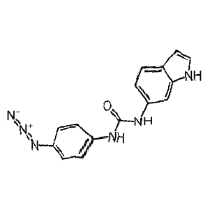 [N-]=[N+]=Nc1ccc(NC(=O)Nc2ccc3cc[nH]c3c2)cc1